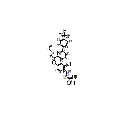 CCCC[C@H](Oc1ccc(/C=C/C(=O)O)c(Cl)c1)c1cccc(-c2ccc(C(F)(F)F)cc2)n1